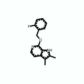 Cc1[nH]c2c(OCc3ccccc3F)nccc2c1C